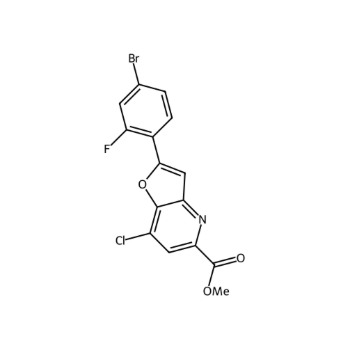 COC(=O)c1cc(Cl)c2oc(-c3ccc(Br)cc3F)cc2n1